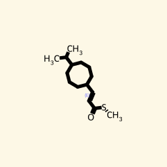 CSC(=O)/C=C/C1CCCC(C(C)C)CCC1